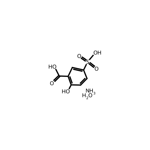 N.O.O=C(O)c1cc(S(=O)(=O)O)ccc1O